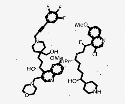 CCC[C@@H](CCC[C@H](O)C1CCNCC1)CC[C@@H](F)c1c(Cl)cnc2ccc(OC)cc12.COc1ccc2ncc(CN3CCOCC3)c([C@H](O)CCC3(CO)CCN(CC#Cc4cc(F)c(F)c(F)c4)CC3)c2c1